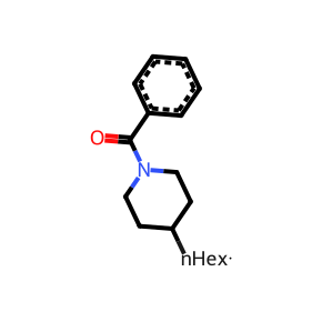 CCCCC[CH]C1CCN(C(=O)c2ccccc2)CC1